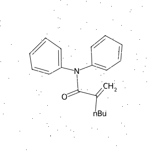 C=C(CCCC)C(=O)N(c1ccccc1)c1ccccc1